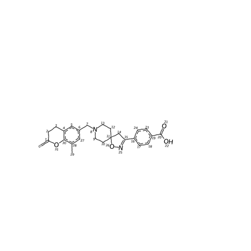 C=C1CCc2cc(CN3CCC4(CC3)CC(c3ccc(C(=O)O)cc3)=NO4)cc(C)c2O1